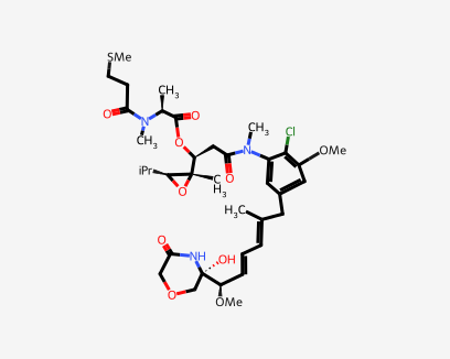 COc1cc(C/C(C)=C/C=C/[C@@H](OC)[C@@]2(O)COCC(=O)N2)cc(N(C)C(=O)C[C@H](OC(=O)[C@H](C)N(C)C(=O)CCSC)[C@]2(C)O[C@H]2C(C)C)c1Cl